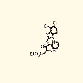 CCOC(=O)CC1Nc2cccnc2[SH](Cc2nc3c(Cl)c(Cl)ccc3s2)C1=O